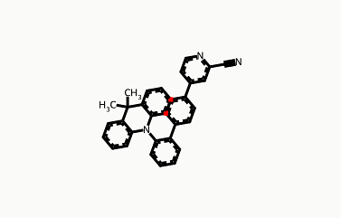 CC1(C)c2ccccc2N(c2ccccc2-c2ccc(-c3ccnc(C#N)c3)cc2)c2ccccc21